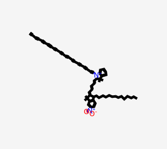 C#CC#CC#CC#CC#CC#CC#CC#CC#CC#CC#C[N+]1=C(/C=C/C=C/C=C2C(CCCCCCCCCCCCCC)c3ccc([N+](=O)[O-])cc3C2(C)C)C(C)(C)c2ccccc21